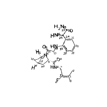 CC(C)=C(F)CNC(=O)[C@@H]1C[C@H]2C[C@H]2N1C(=O)CNc1ccccc1C(=N)C(N)=O